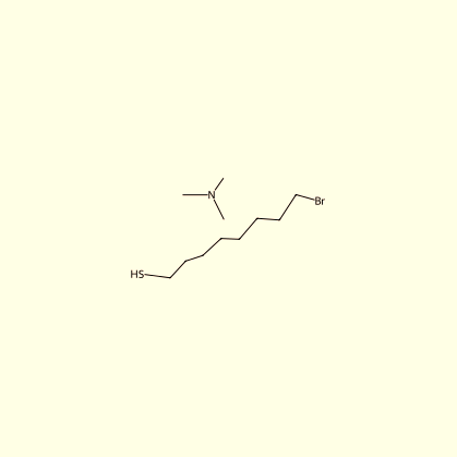 CN(C)C.SCCCCCCCCBr